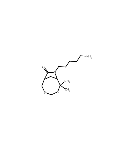 CC1(C)SCSCC2CC1N(CCCCCN)C2=O